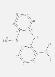 CC(C)c1ccccc1Sc1ccccc1CO